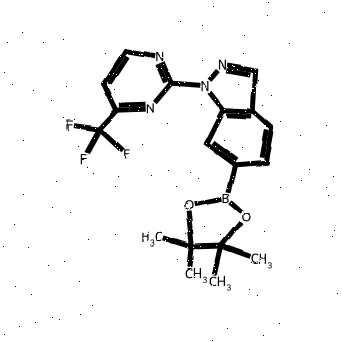 CC1(C)OB(c2ccc3cnn(-c4nccc(C(F)(F)F)n4)c3c2)OC1(C)C